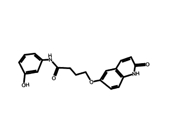 O=C(CCCOc1ccc2[nH]c(=O)ccc2c1)Nc1cccc(O)c1